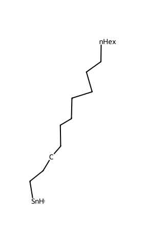 CCCCCCCCCCCCCCC[CH2][SnH]